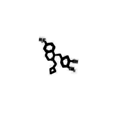 Cc1ccc2c(c1)CCN(CC1CCC1)[C@@H]2Cc1ccc(C)c(O)c1